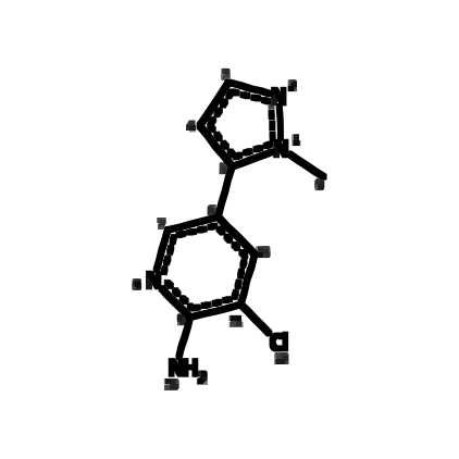 Cn1nccc1-c1cnc(N)c(Cl)c1